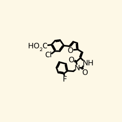 O=C(O)c1ccc(-c2ccc(C=C3NC(=O)N(Cc4ccccc4F)C3=O)o2)cc1Cl